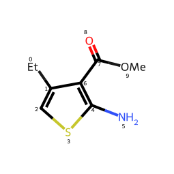 CCc1csc(N)c1C(=O)OC